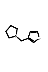 c1cc(CN2CCCC2)cs1